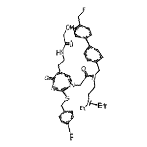 CCN(CC)CCN(Cc1ccc(-c2ccc(CF)cc2)cc1)C(=O)Cn1cc(CCNC(=O)COC)c(=O)nc1SCc1ccc(F)cc1